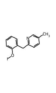 Cc1ccc(Cc2ccccc2OI)nc1